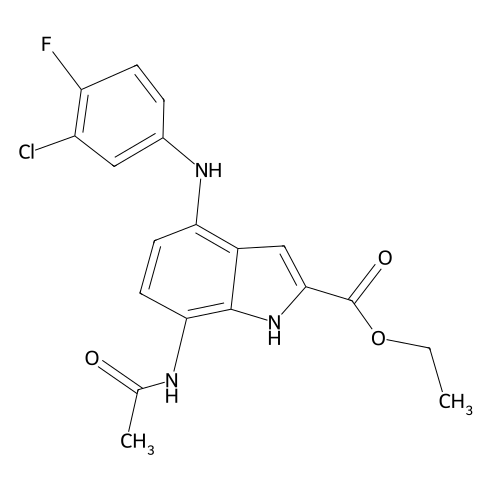 CCOC(=O)c1cc2c(Nc3ccc(F)c(Cl)c3)ccc(NC(C)=O)c2[nH]1